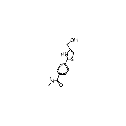 CN(C)C(=O)c1ccc(C2NC(CO)=CS2)cc1